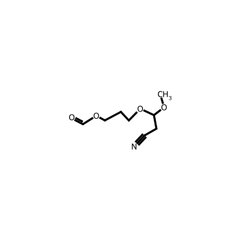 COC(CC#N)OCCCOC=O